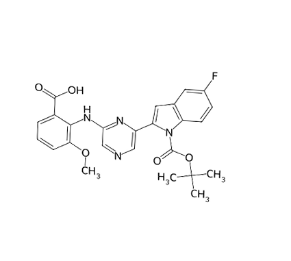 COc1cccc(C(=O)O)c1Nc1cncc(-c2cc3cc(F)ccc3n2C(=O)OC(C)(C)C)n1